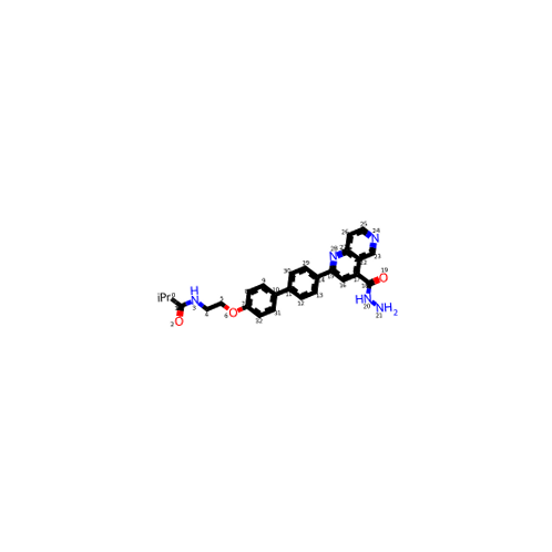 CC(C)C(=O)NCCOc1ccc(-c2ccc(-c3cc(C(=O)NN)c4cnccc4n3)cc2)cc1